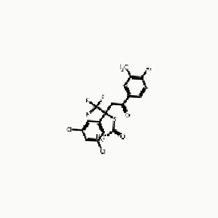 CC(=O)SC(CC(=O)c1ccc(Br)c(C)c1)(c1cc(Cl)cc(Cl)c1)C(F)(F)F